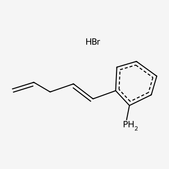 Br.C=CCC=Cc1ccccc1P